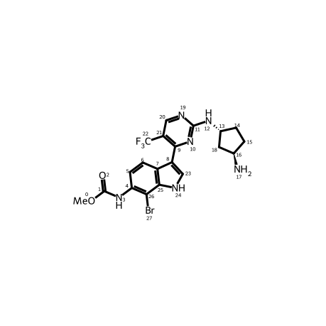 COC(=O)Nc1ccc2c(-c3nc(N[C@@H]4CC[C@@H](N)C4)ncc3C(F)(F)F)c[nH]c2c1Br